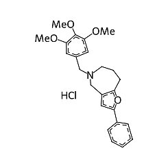 COc1cc(CN2CCCc3oc(-c4ccccc4)cc3C2)cc(OC)c1OC.Cl